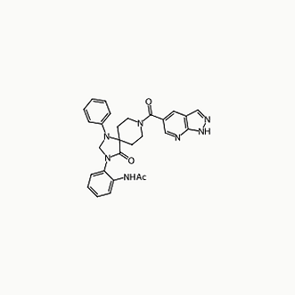 CC(=O)Nc1ccccc1N1CN(c2ccccc2)C2(CCN(C(=O)c3cnc4[nH]ncc4c3)CC2)C1=O